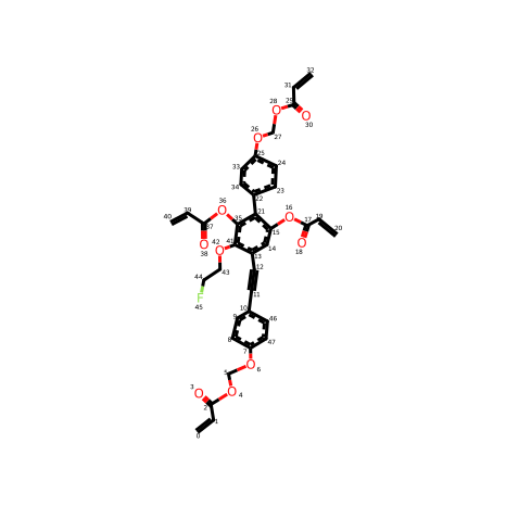 C=CC(=O)OCOc1ccc(C#Cc2cc(OC(=O)C=C)c(-c3ccc(OCOC(=O)C=C)cc3)c(OC(=O)C=C)c2OCCF)cc1